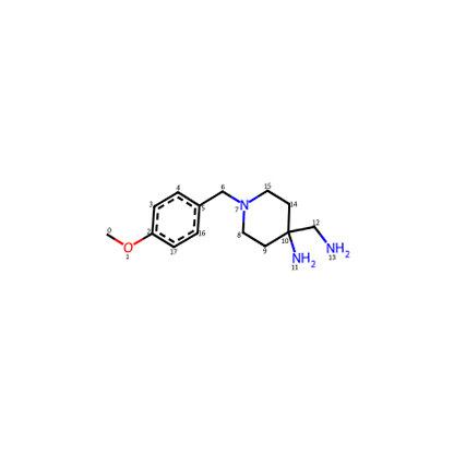 COc1ccc(CN2CCC(N)(CN)CC2)cc1